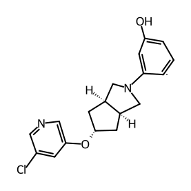 Oc1cc[c]c(N2C[C@H]3C[C@H](Oc4cncc(Cl)c4)C[C@H]3C2)c1